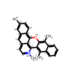 Cc1c2c(c(C)c3ccccc13)-c1c3c(c4ccc(C(C)C)cc4cc3cc[n+]1C)O2